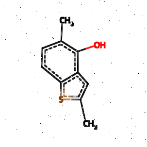 Cc1cc2c(O)c(C)ccc2s1